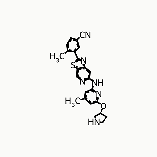 Cc1cc(Nc2cc3nc(-c4cc(C#N)ccc4C)sc3cn2)nc(O[C@H]2CCNC2)c1